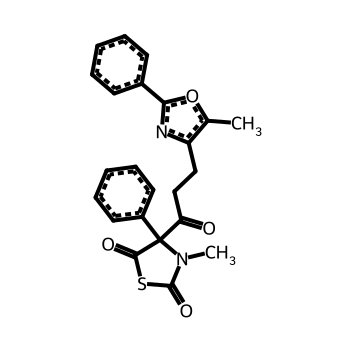 Cc1oc(-c2ccccc2)nc1CCC(=O)C1(c2ccccc2)C(=O)SC(=O)N1C